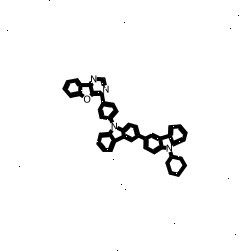 c1ccc2c(c1)oc1c(-c3ccc(-n4c5ccccc5c5cc(-c6ccc7c(c6)c6ccccc6n7C6CCCCC6)ccc54)cc3)ncnc12